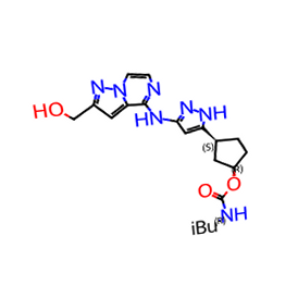 CC[C@@H](C)NC(=O)O[C@@H]1CC[C@H](c2cc(Nc3nccn4nc(CO)cc34)n[nH]2)C1